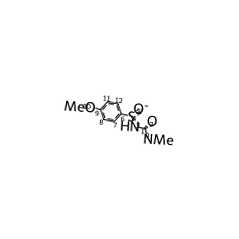 CNC(=O)N[S+]([O-])c1ccc(OC)cc1